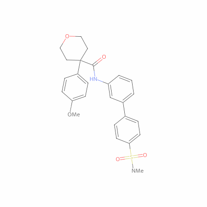 CNS(=O)(=O)c1ccc(-c2cccc(NC(=O)C3(c4ccc(OC)cc4)CCOCC3)c2)cc1